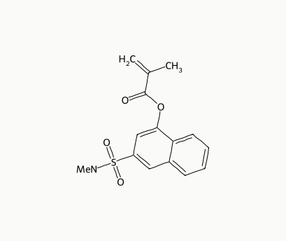 C=C(C)C(=O)Oc1cc(S(=O)(=O)NC)cc2ccccc12